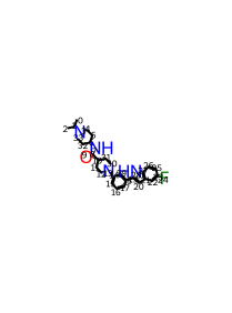 CC(C)N1CCC(NC(=O)C2CCN(c3cccc(-c4cc5cc(F)ccc5[nH]4)c3)CC2)CC1